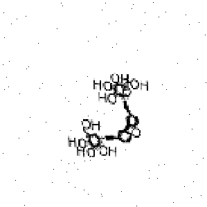 OC[C@H]1C[C@H](C#Cc2ccc3oc4ccc(C#C[C@H]5O[C@H](CO)[C@@H](O)[C@H](O)[C@@H]5O)cc4c3c2)[C@@H](O)[C@@H](O)[C@@H]1O